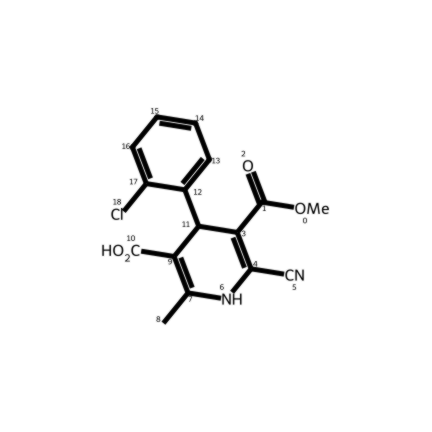 COC(=O)C1=C(C#N)NC(C)=C(C(=O)O)C1c1ccccc1Cl